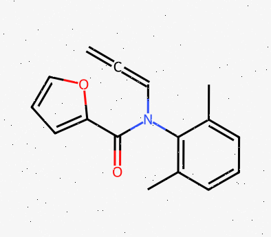 C=C=CN(C(=O)c1ccco1)c1c(C)cccc1C